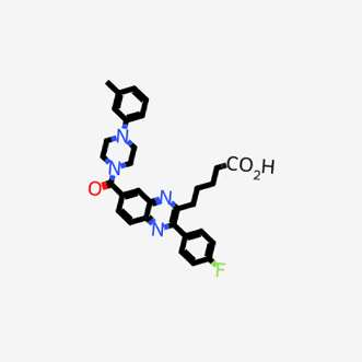 Cc1cccc(N2CCN(C(=O)c3ccc4nc(-c5ccc(F)cc5)c(CCCCC(=O)O)nc4c3)CC2)c1